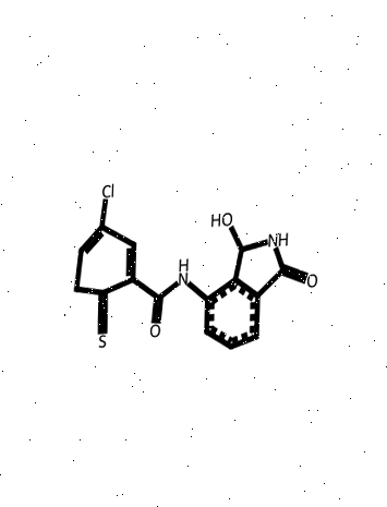 O=C(Nc1cccc2c1C(O)NC2=O)C1=CC(Cl)=CCC1=S